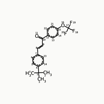 CC(C)(C)c1ccc(C=CC(=O)c2ccc(OC(F)(F)F)cc2)cc1